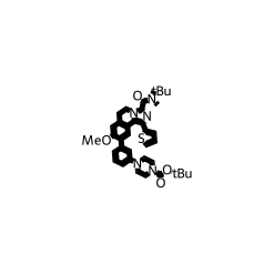 COc1cc2c(cc1-c1cccc(N3CCN(C(=O)OC(C)(C)C)CC3)c1)-c1c(-c3cccs3)nc(C(=O)N(C)C(C)(C)C)n1CC2